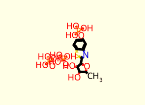 CC1OC(c2nc3ccccc3s2)C(O)C1O.O=P(O)(O)O.O=P(O)(O)O.O=P(O)(O)O